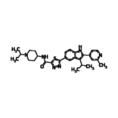 Cc1cc(-c2[nH]c3ccc(-c4nnc(C(=O)NC5CCN(C(C)C)CC5)s4)cc3c2C(C)C)ccn1